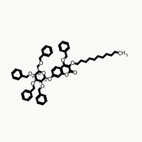 CCCCCCCCCCCOc1c(OCc2ccccc2)c2ccc(O[C@@H]3O[C@H](COCc4ccccc4)[C@@H](OCc4ccccc4)[C@H](OCc4ccccc4)[C@H]3OCc3ccccc3)cc2oc1=O